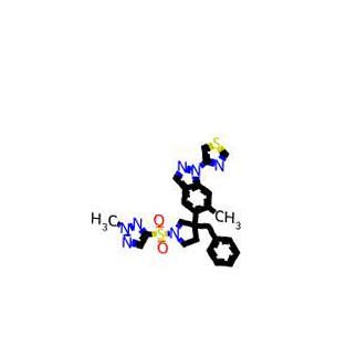 Cc1cc2c(cnn2-c2cscn2)cc1C1(Cc2ccccc2)CCN(S(=O)(=O)c2cnn(C)n2)C1